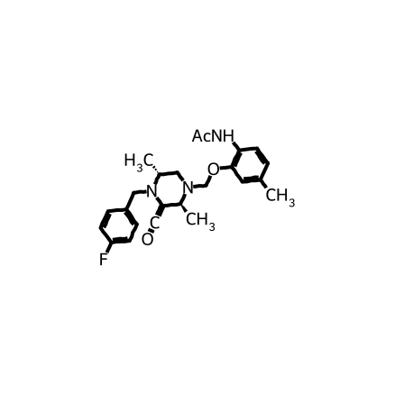 CC(=O)Nc1ccc(C)cc1OCN1C[C@@H](C)N(Cc2ccc(F)cc2)C(=C=O)[C@@H]1C